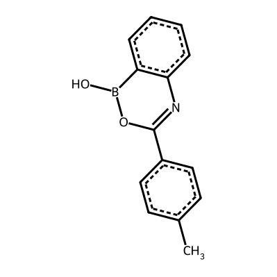 Cc1ccc(C2=Nc3ccccc3B(O)O2)cc1